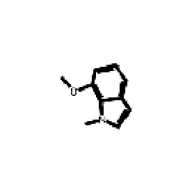 COc1c[c]cc2ccn(C)c12